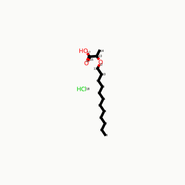 CCCCCCCCCCCCOC(C)C(=O)O.Cl